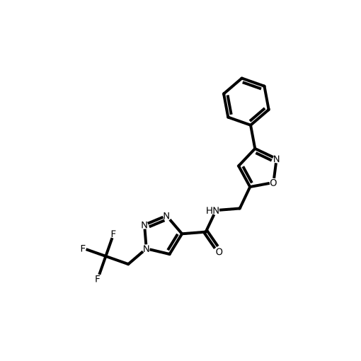 O=C(NCc1cc(-c2ccccc2)no1)c1cn(CC(F)(F)F)nn1